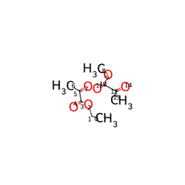 CCOC(=O)C(C)=O.COC(=O)C(C)=O